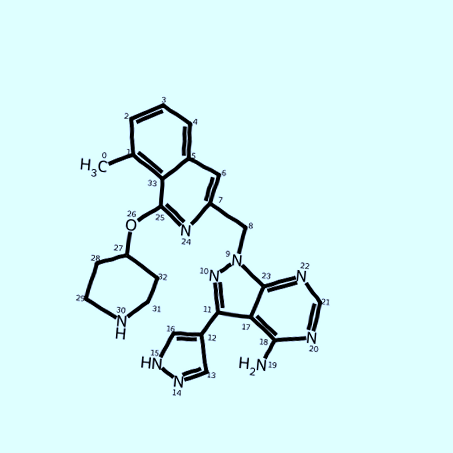 Cc1cccc2cc(Cn3nc(-c4cn[nH]c4)c4c(N)ncnc43)nc(OC3CCNCC3)c12